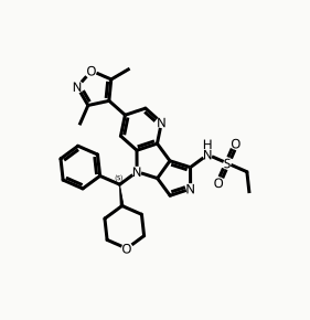 CCS(=O)(=O)NC1=C2c3ncc(-c4c(C)noc4C)cc3N([C@H](c3ccccc3)C3CCOCC3)C2C=N1